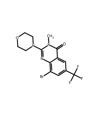 Cn1c(N2CCOCC2)nc2c(Br)cc(C(F)(F)F)cc2c1=O